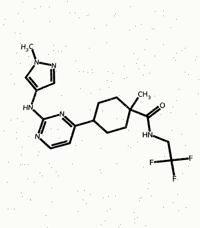 Cn1cc(Nc2nccc(C3CCC(C)(C(=O)NCC(F)(F)F)CC3)n2)cn1